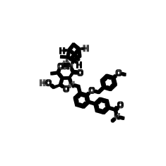 COc1ccc(COc2c(CN3O[C@@H](CO)C(C(C)O)[C@H]3C(=O)N[C@H]3C[C@H]4C[C@@H]([C@@H]3C)C4(C)C)cccc2-c2ccc(C(=O)N(C)C)cc2)cc1